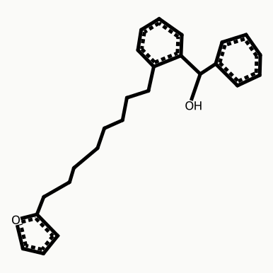 OC(c1ccccc1)c1ccccc1CCCCCCCCc1ccco1